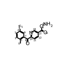 Cc1ccc(F)cc1C(=O)c1ccc(C(=O)ON)cn1